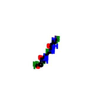 O=C(NCc1cc(OC(F)(F)F)ccc1F)c1cn(CCC(F)Cn2cc(C(=O)NCc3ccc(C(F)(F)I)nc3)nn2)nn1